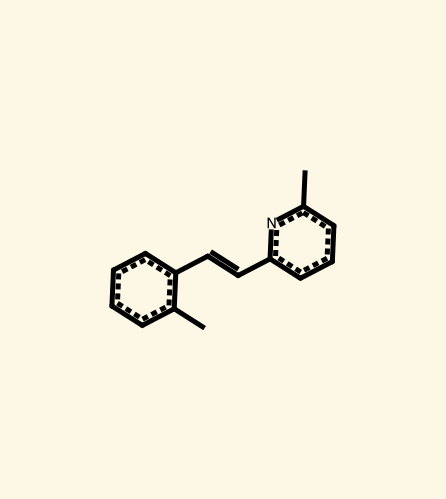 Cc1cccc(C=Cc2ccccc2C)n1